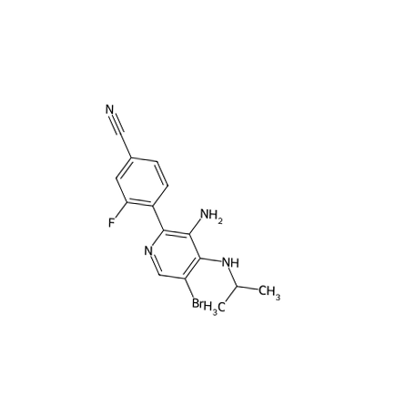 CC(C)Nc1c(Br)cnc(-c2ccc(C#N)cc2F)c1N